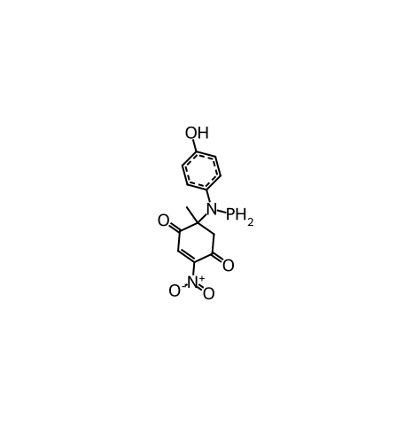 CC1(N(P)c2ccc(O)cc2)CC(=O)C([N+](=O)[O-])=CC1=O